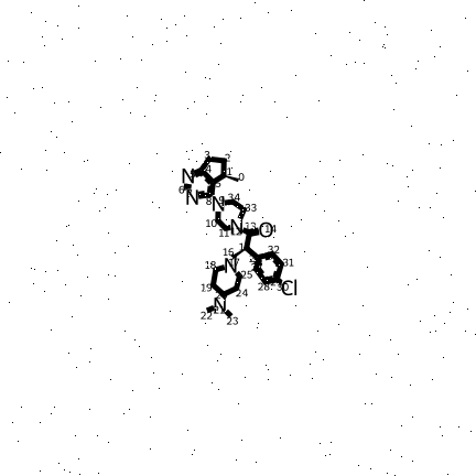 C[C@@H]1CCc2ncnc(N3CCN(C(=O)[C@H](CN4CCC(N(C)C)CC4)c4ccc(Cl)cc4)CC3)c21